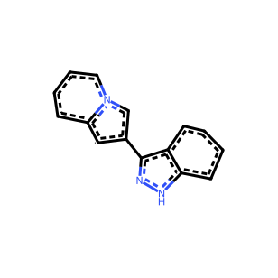 [c]1c(-c2n[nH]c3ccccc23)cn2ccccc12